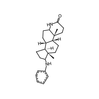 C[C@]12CCC(=O)NC1CC[C@@H]1[C@H]2CC[C@]2(C)C(Nc3ccccc3)CC[C@@H]12